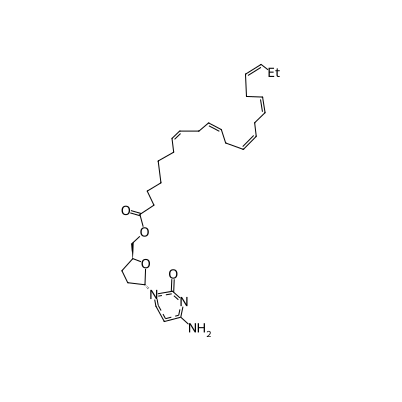 CC/C=C\C/C=C\C/C=C\C/C=C\C/C=C\CCCCCC(=O)OC[C@@H]1CC[C@@H](n2ccc(N)nc2=O)O1